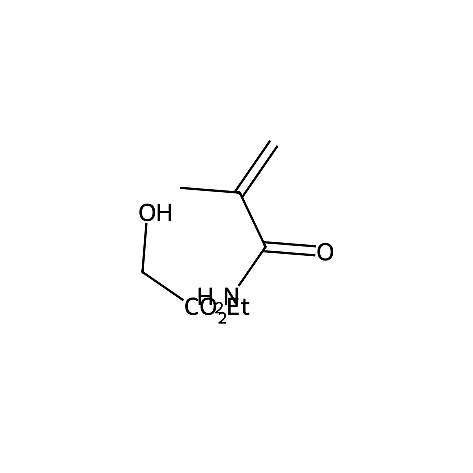 C=C(C)C(N)=O.CCOC(=O)CO